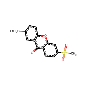 CCOC(=O)c1ccc2oc3cc(S(C)(=O)=O)ccc3c(=O)c2c1